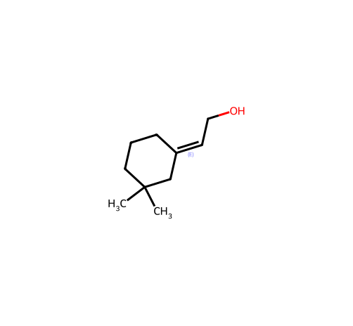 CC1(C)CCC/C(=C\CO)C1